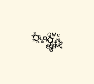 COc1cc(-c2noc(C)n2)c(S(=O)(=O)Cl)cc1OCc1ccccc1